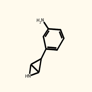 Nc1cccc(C2C3NC32)c1